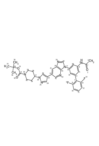 CC(=O)Nc1cc(-c2c(F)cccc2F)cc(-n2cnc3cc(-c4cnn(C5CCN(C(=O)OC(C)(C)C)CC5)c4)cnc32)c1